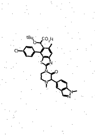 Cc1cc2nc(N3CCN(C)C(c4ccc5c(cnn5C)c4)C3=O)sc2c(-c2ccc(Cl)cc2)c1C(OC(C)(C)C)C(=O)O